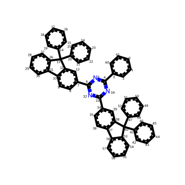 c1ccc(-c2nc(-c3ccc4c(c3)C(c3ccccc3)(c3ccccc3)c3ccccc3-4)nc(-c3ccc4c(c3)C(c3ccccc3)(c3ccccc3)c3ccccc3-4)n2)cc1